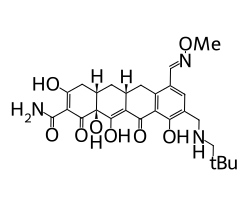 CO/N=C/c1cc(CNCC(C)(C)C)c(O)c2c1C[C@H]1C[C@H]3CC(O)=C(C(N)=O)C(=O)[C@@]3(O)C(O)=C1C2=O